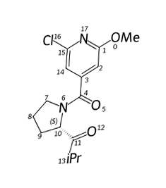 COc1cc(C(=O)N2CCC[C@H]2C(=O)C(C)C)cc(Cl)n1